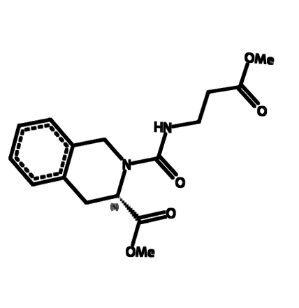 COC(=O)CCNC(=O)N1Cc2ccccc2C[C@H]1C(=O)OC